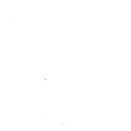 C=C(C)C(=O)OC(C)OC(=O)CCN(CCC[Si](OCC)(OCC)OCC)CCC(=O)OC(C)OC(=O)C(=C)C